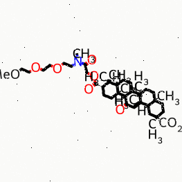 COCCOCCOCCN(C)C(=O)COC(=O)[C@H]1CC[C@]2(C)[C@H]3C(=O)C=C4[C@@H]5C[C@@](C)(C(=O)O)CC[C@]5(C)CC[C@@]4(C)[C@]3(C)CC[C@H]2C1(C)C